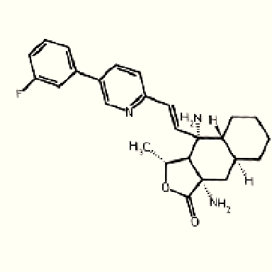 C[C@H]1OC(=O)[C@]2(N)C[C@@H]3CCCC[C@H]3[C@](N)(/C=C/c3ccc(-c4cccc(F)c4)cn3)C12